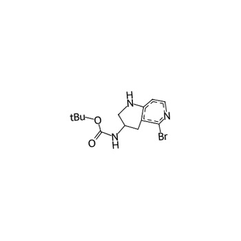 CC(C)(C)OC(=O)NC1CNc2ccnc(Br)c2C1